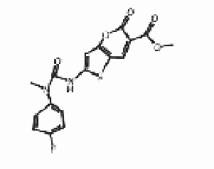 COC(=O)c1cc2sc(NC(=O)N(C)c3ccc(F)cc3)cc2oc1=O